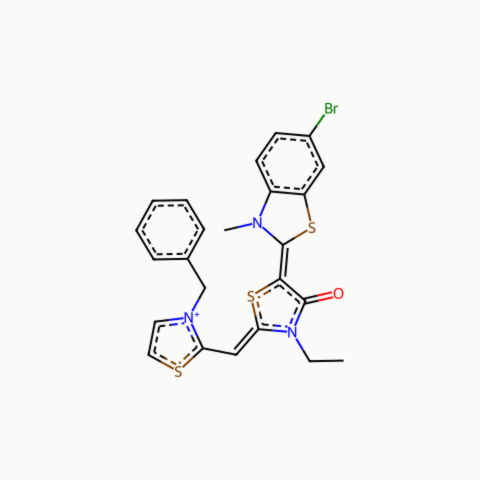 CCn1c(=O)/c(=C2\Sc3cc(Br)ccc3N2C)s/c1=C\c1scc[n+]1Cc1ccccc1